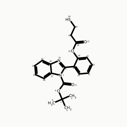 CC(C)(C)OC(=O)n1c(-c2ccccc2OC(=O)CCS)nc2ccccc21